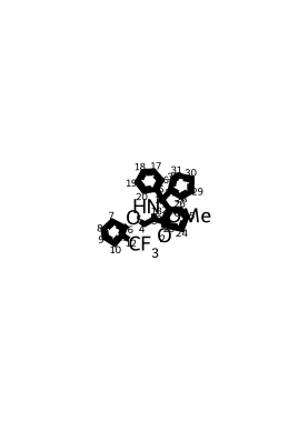 COC(=O)C(COc1ccccc1C(F)(F)F)NC(c1ccccc1)(c1ccccc1)c1ccccc1